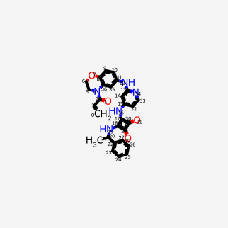 C=CC(=O)N1CCOc2ccc(Nc3cc(Nc4c(NC(C)c5ccccc5)c(=O)c4=O)ccn3)cc21